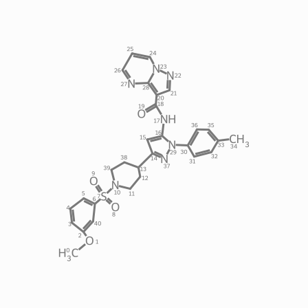 COc1cccc(S(=O)(=O)N2CCC(c3cc(NC(=O)c4cnn5cccnc45)n(-c4ccc(C)cc4)n3)CC2)c1